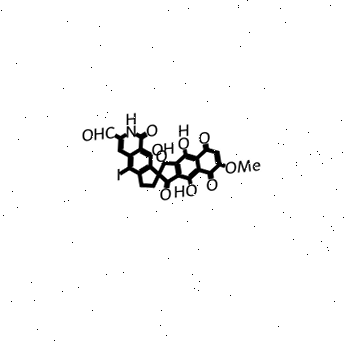 COC1=CC(=O)c2c(O)c3c(c(O)c2C1=O)C(=O)C1(CCc2c1c(O)c1c(=O)[nH]c(C=O)cc1c2I)C3=O